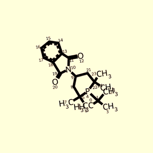 CC(C)(C)P1C(C)(C)CC(N2C(=O)c3ccccc3C2=O)CC1(C)C